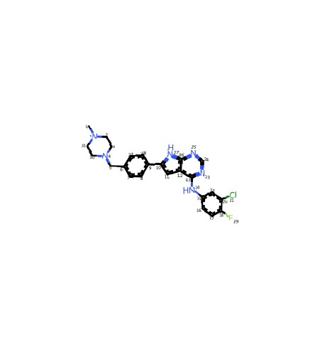 CN1CCN(Cc2ccc(-c3cc4c(Nc5ccc(F)c(Cl)c5)ncnc4[nH]3)cc2)CC1